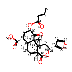 CCCC(=O)O[C@H]1C[C@@H](C(=O)OC)[C@]2(C)CC[C@H]3C(=O)O[C@@H](c4ccoc4)C[C@]3(C)[C@H]2C1=O